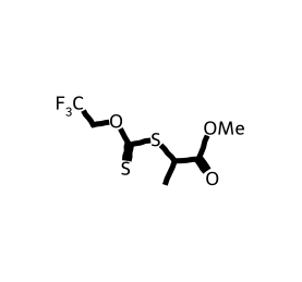 COC(=O)C(C)SC(=S)OCC(F)(F)F